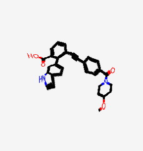 COC1CCN(C(=O)c2ccc(C#Cc3cccc(C(=O)O)c3-c3ccc4cc[nH]c4c3)cc2)CC1